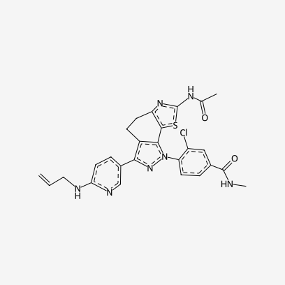 C=CCNc1ccc(-c2nn(-c3ccc(C(=O)NC)cc3Cl)c3c2CCc2nc(NC(C)=O)sc2-3)cn1